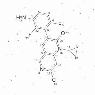 Nc1ccc(F)c(-c2cc3cnc(Cl)cc3n(C3CC3)c2=O)c1F